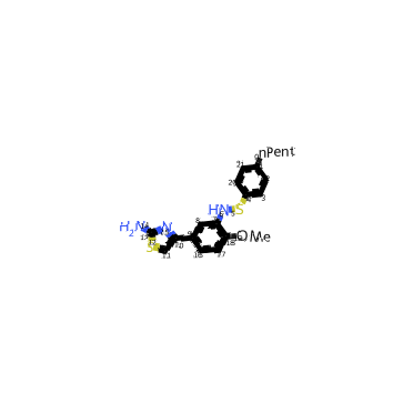 CCCCCc1ccc(SNc2cc(-c3csc(N)n3)ccc2OC)cc1